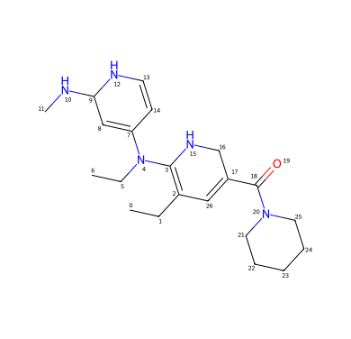 CCC1=C(N(CC)C2=CC(NC)NC=C2)NCC(C(=O)N2CCCCC2)=C1